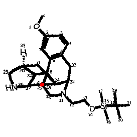 COc1ccc2c(c1)C13CCN(CCO[Si](C)(C)C(C)(C)C)C(C2)C12CCC1NC[C@@H](C2)C13